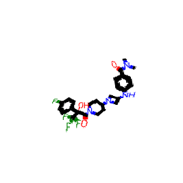 CN(C)C(=O)c1ccc(NC2CN(C3CCN(C(=O)[C@](O)(c4ccc(F)cc4)C(F)(F)F)CC3)C2)cc1